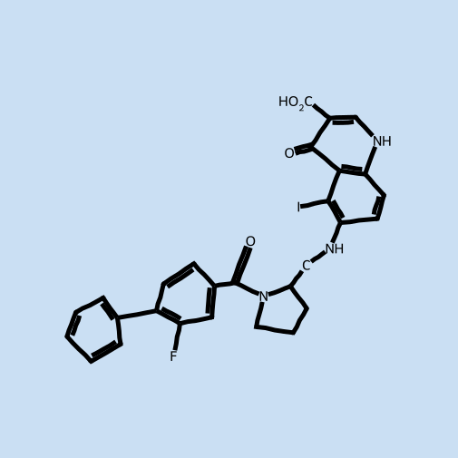 O=C(O)c1c[nH]c2ccc(NCC3CCCN3C(=O)c3ccc(-c4ccccc4)c(F)c3)c(I)c2c1=O